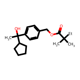 CCC(C)(C)C(=O)OCc1ccc(C(C)(O)C2CCCC2)cc1